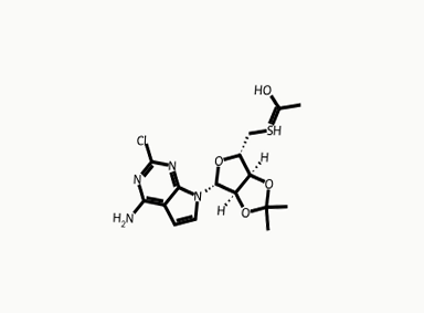 CC(O)=[SH]C[C@H]1O[C@@H](n2ccc3c(N)nc(Cl)nc32)[C@@H]2OC(C)(C)O[C@@H]21